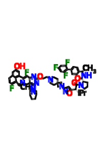 C#Cc1c(F)ccc2cc(O)cc(-c3ncc4c(N5CC6CCC(C5)N6)nc(OCCN5CCC6(CC5)CN(c5cc([C@H](C(=O)N7CCC[C@H]7C(=O)N[C@@H](C)c7ccc(-c8c(F)cc(F)cc8F)cc7)C(C)C)on5)C6)nc4c3F)c12